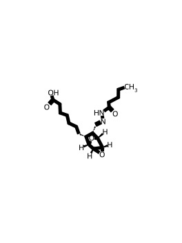 CCCCC(=O)NN=C[C@H]1[C@@H](CCCCCCC(=O)O)[C@@H]2O[C@H]1[C@@H]1O[C@@H]12